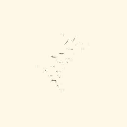 CC(=O)OC[C@]1(C)C(=O)C(C#N)=C[C@]2(C)C3=CC(=O)C4C5CC(C)(C)CC[C@]5(NC(=O)C(C)(F)F)CCC4[C@]3(C)CCC21